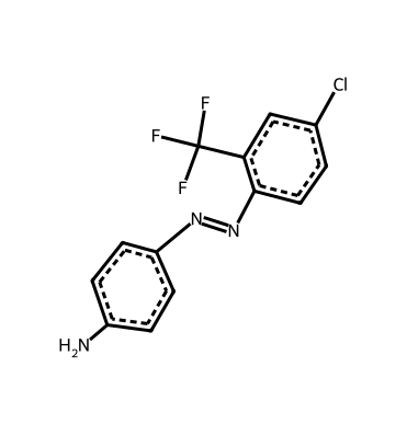 Nc1ccc(N=Nc2ccc(Cl)cc2C(F)(F)F)cc1